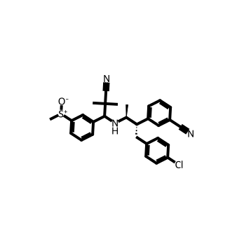 C[C@H](NC(c1cccc([S+](C)[O-])c1)C(C)(C)C#N)[C@@H](Cc1ccc(Cl)cc1)c1cccc(C#N)c1